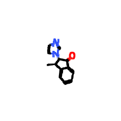 C[C@@H]1c2ccccc2C(=O)[C@H]1n1ccnc1